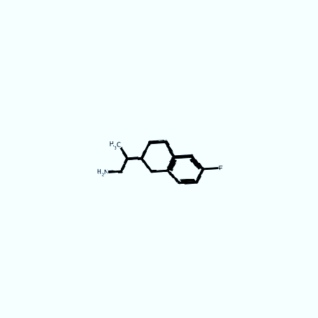 CC(CN)C1CCc2cc(F)ccc2C1